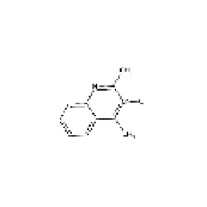 Cc1nc2ccccc2c(C)[n+]1[O-]